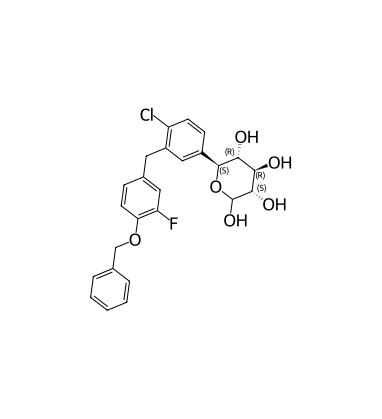 OC1O[C@@H](c2ccc(Cl)c(Cc3ccc(OCc4ccccc4)c(F)c3)c2)[C@H](O)[C@@H](O)[C@@H]1O